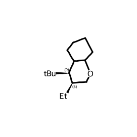 CC[C@@H]1COC2CCCCC2[C@@H]1C(C)(C)C